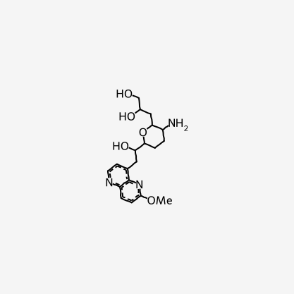 COc1ccc2nccc(CC(O)C3CCC(N)C(CC(O)CO)O3)c2n1